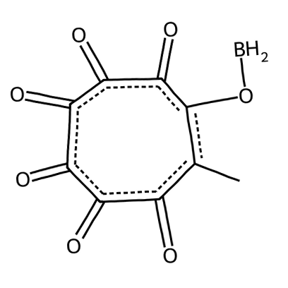 BOc1c(C)c(=O)c(=O)c(=O)c(=O)c(=O)c1=O